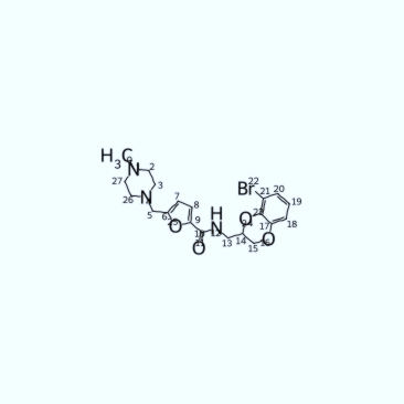 CN1CCN(Cc2ccc(C(=O)NCC3COc4cccc(Br)c4O3)o2)CC1